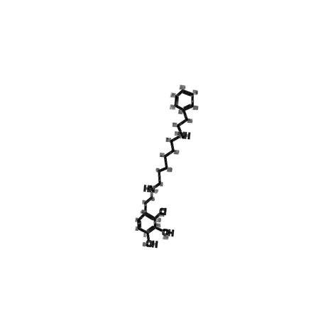 Oc1ccc(CCNCCCCCCNCCc2ccccc2)c(Cl)c1O